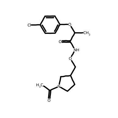 CC(=O)N1CCC(CONC(=O)C(C)Oc2ccc(Cl)cc2)C1